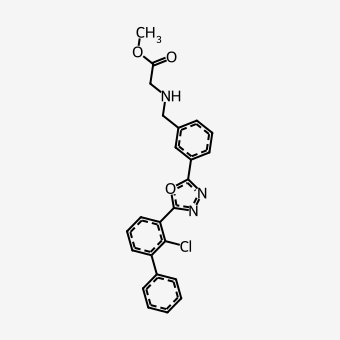 COC(=O)CNCc1cccc(-c2nnc(-c3cccc(-c4ccccc4)c3Cl)o2)c1